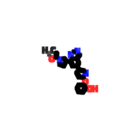 C=CC(=O)N1CCC(c2cc(-c3ccc(Oc4ccccc4O)nc3)cc3cncnc23)C1